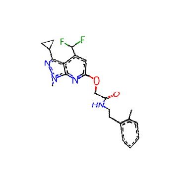 Cc1ccccc1CCNC(=O)COc1cc(C(F)F)c2c(C3CC3)nn(C)c2n1